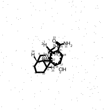 Cl.[2H]C([2H])([2H])N1C[C@H]2CCC[C@@H](C1)[C@]2(OC)c1cccc(C(N)=O)c1